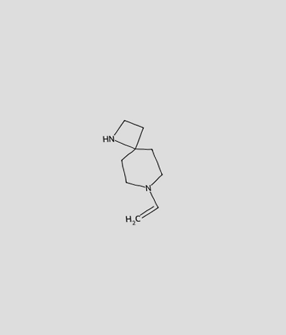 C=CN1CCC2(CCN2)CC1